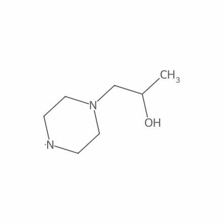 CC(O)CN1CC[N]CC1